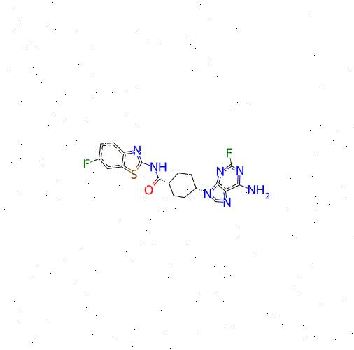 Nc1nc(F)nc2c1ncn2[C@H]1CC[C@@H](C(=O)Nc2nc3ccc(F)cc3s2)CC1